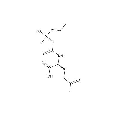 CCCC(C)(O)CC(=O)N[C@@H](CCC(C)=O)C(=O)O